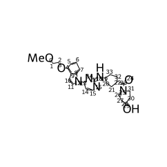 COCCOc1cccc2c1ccn2-c1ccnc(N[C@H]2CC[C@H](C(=O)N3CCC(O)CC3)CC2)n1